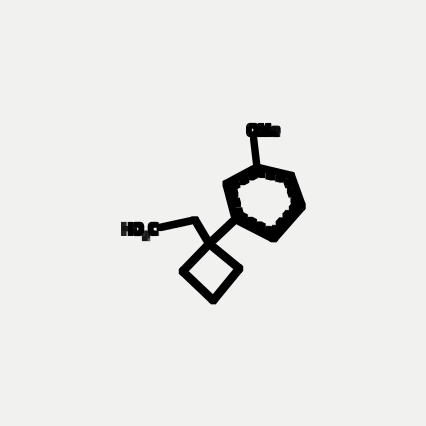 COc1cccc(C2(CC(=O)O)CCC2)c1